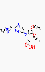 COc1cc(OC)cc(N(CCCCC(=O)O)c2ccc3ncc(-c4cnn(C)c4)nc3c2)c1